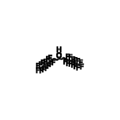 OC(CCC(F)(F)C(F)(F)C(F)(F)C(F)(F)C(F)(F)C(F)(F)F)CCC(F)(F)C(F)(F)C(F)(F)C(F)(F)C(F)(F)C(F)(F)F